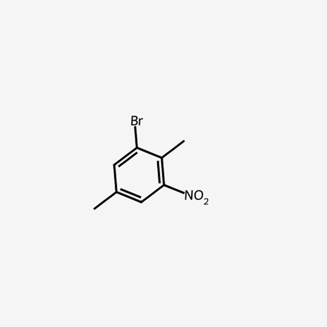 Cc1cc(Br)c(C)c([N+](=O)[O-])c1